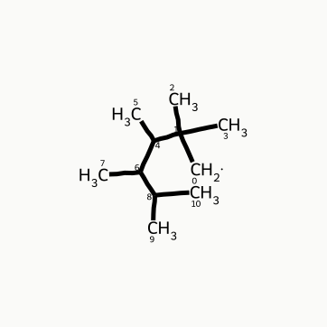 [CH2]C(C)(C)C(C)C(C)C(C)C